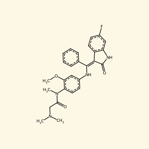 COc1cc(N/C(=C2\C(=O)Nc3cc(F)ccc32)c2ccccc2)ccc1N(C)C(=O)CN(C)C